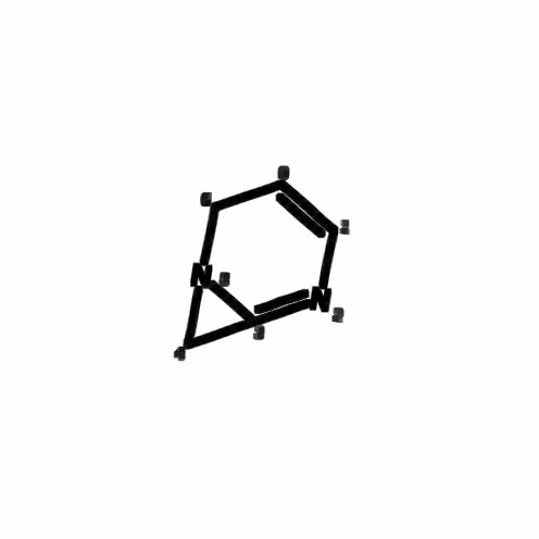 C1=CN=C2CN2C1